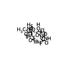 CC(C)OC(=O)[C@H](C)N[P@](=S)(OCCSC(=O)C(C)(C)C)OC[C@H]1O[C@@H](n2cc(F)c(=O)[nH]c2=O)C(Cl)(Cl)[C@@H]1O